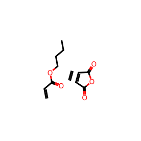 C=C.C=CC(=O)OCCCC.O=C1C=CC(=O)O1